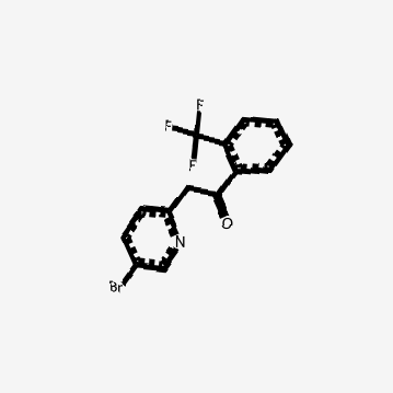 O=C(Cc1ccc(Br)cn1)c1ccccc1C(F)(F)F